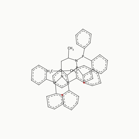 CC(CC(C)(C)N(P(c1ccccc1)c1ccccc1)P(c1ccccc1)c1ccccc1)N(P(c1ccccc1)c1ccccc1)P(c1ccccc1)c1ccccc1